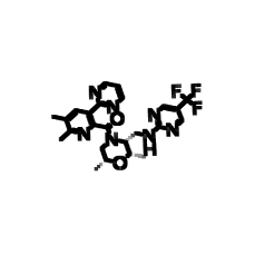 Cc1cc(-c2ncccn2)c(C(=O)N2C[C@@H](C)O[C@@H](C)[C@H]2CNc2ncc(C(F)(F)F)cn2)nc1C